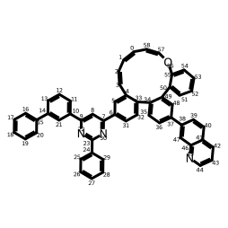 c1cccc2cc(-c3cc(-c4cccc(-c5ccccc5)c4)nc(-c4ccccc4)n3)ccc2c2ccc(-c3ccc4cccnc4c3)cc2c2ccccc2occ1